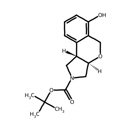 CC(C)(C)OC(=O)N1C[C@@H]2OCc3c(O)cccc3[C@H]2C1